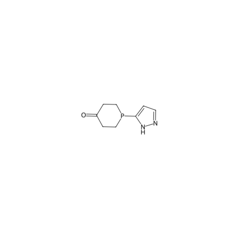 O=C1CCP(c2ccn[nH]2)CC1